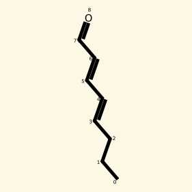 CCCC=CC=C[C]=O